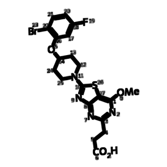 COc1nc(CCC(=O)O)nc2nc(N3CCC(Oc4cc(F)ccc4Br)CC3)sc12